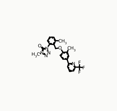 Cc1cc(-c2cccc(C(F)(F)F)n2)ccc1OCc1c(C)cccc1-n1nnn(C)c1=O